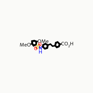 COc1ccc(OC)c(S(=O)(=O)Nc2ccc(CCc3ccc(C(=O)O)cc3)cc2)c1